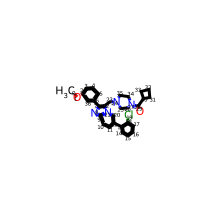 COc1cccc(-c2nc3ccc(-c4ccccc4Cl)cn3c2CN2CCN(C(=O)C3CCC3)CC2)c1